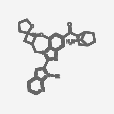 CCn1c(-c2nc3cc(C(=O)N4CC5CCC4C5N)cc(OC)c3n2CC2CC3(CCCO3)C2)cc2cccnc21